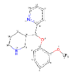 FC(F)(F)Oc1ccccc1OC(c1ccccn1)[C@H]1CCCNC1